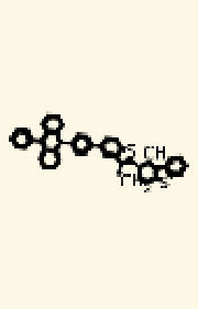 C=Cc1c(-c2ccc3sc4ccccc4c3c2C)sc2ccc(-c3ccc(-c4c5ccccc5c(-c5ccccc5)c5ccccc45)cc3)cc12